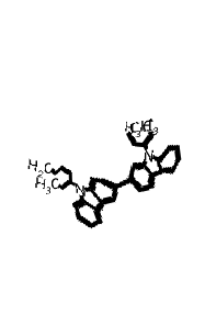 C=C/C=C\C(=C/C)n1c2ccccc2c2cc(-c3ccc4c5ccccc5n(C(/C=C\C)=C/C)c4c3)ccc21